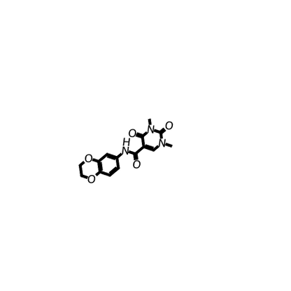 Cn1cc(C(=O)Nc2ccc3c(c2)OCCO3)c(=O)n(C)c1=O